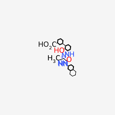 CC(=N)/C(=N/Nc1cccc(-c2cccc(C(=O)O)c2)c1O)C(=O)Nc1ccc2c(c1)CCCC2